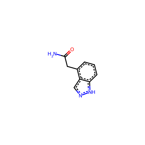 NC(=O)Cc1cccc2[nH]ncc12